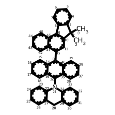 CC1(C)c2ccccc2-c2c1cc(-c1c3ccccc3c(N3c4ccccc4Cc4ccccc43)c3ccccc13)c1ccccc21